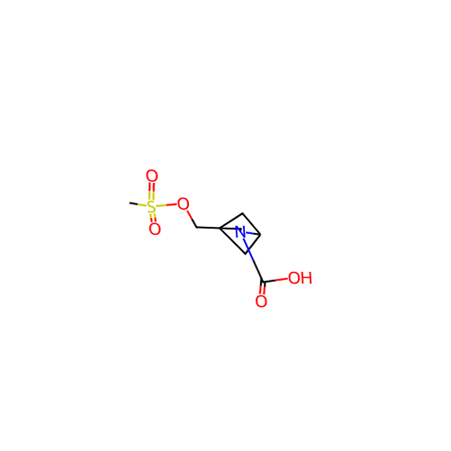 CS(=O)(=O)OCC12CC(C1)N(C(=O)O)C2